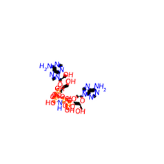 Nc1ncnc2c1ncn2[C@@H](CO)O[C@@H](CO)COP(=O)(O)OP(=O)(O)NP(=O)(O)OP(=O)(O)C[C@H](CO)O[C@H](CO)n1cnc2c(N)ncnc21